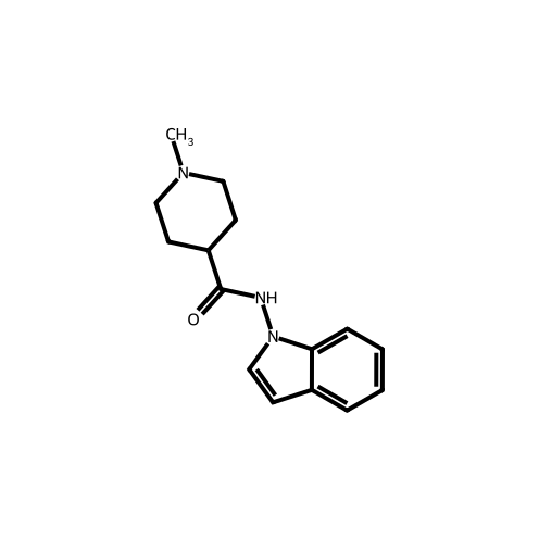 CN1CCC(C(=O)Nn2ccc3ccccc32)CC1